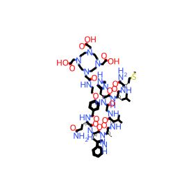 CSCC[C@H](NC(=O)[C@H](CC(C)C)NC(=O)[C@H](Cc1c[nH]cn1)NC(=O)CNC(=O)[C@@H](NC(=O)[C@H](C)NC(=O)[C@H](Cc1c[nH]c2ccccc12)NC(=O)[C@H](CCC(N)=O)NC(=O)c1ccc(OCCNC(=O)CN2CCN(CC(=O)O)CCN(CC(=O)O)CCN(CC(=O)O)CC2)cc1)C(C)C)C(N)=O